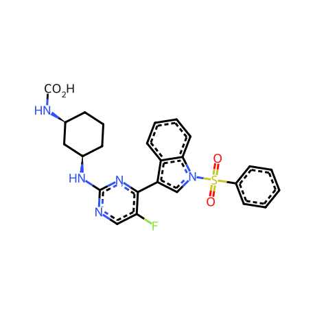 O=C(O)N[C@H]1CCC[C@@H](Nc2ncc(F)c(-c3cn(S(=O)(=O)c4ccccc4)c4ccccc34)n2)C1